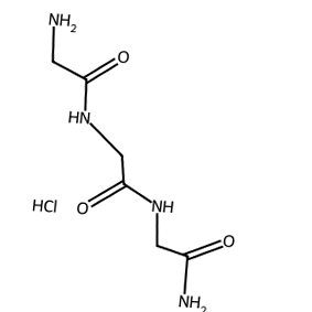 Cl.NCC(=O)NCC(=O)NCC(N)=O